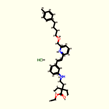 CCOC(=O)C(CC)(CC)CCNc1cccc(C=Cc2cccc(COCCCCc3ccc(C)cc3)n2)c1.Cl